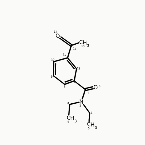 CCN(CC)C(=O)c1cccc(C(C)=O)c1